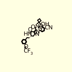 N#Cc1ccc(-n2nc3c(c2C(=O)NCC2(CO)CCC2)C(=O)N[C@@H](CCc2cccc(OCC(F)(F)F)c2)C3)nc1